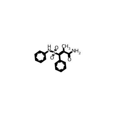 CC(C(N)=O)=C(c1ccccc1)S(=O)(=O)Nc1ccccc1